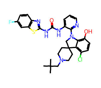 CC(C)(C)CN1CCC2(CC1)CN(c1ncccc1NC(=O)Nc1nc3ccc(F)cc3s1)c1c(O)ccc(Cl)c12